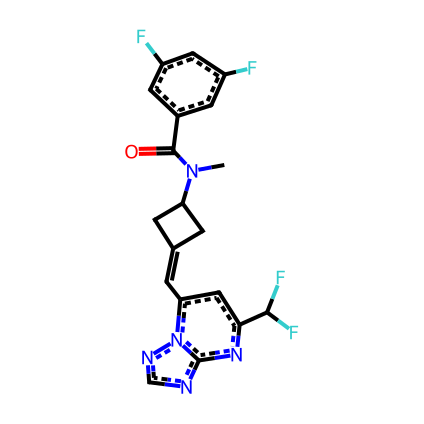 CN(C(=O)c1cc(F)cc(F)c1)C1CC(=Cc2cc(C(F)F)nc3ncnn23)C1